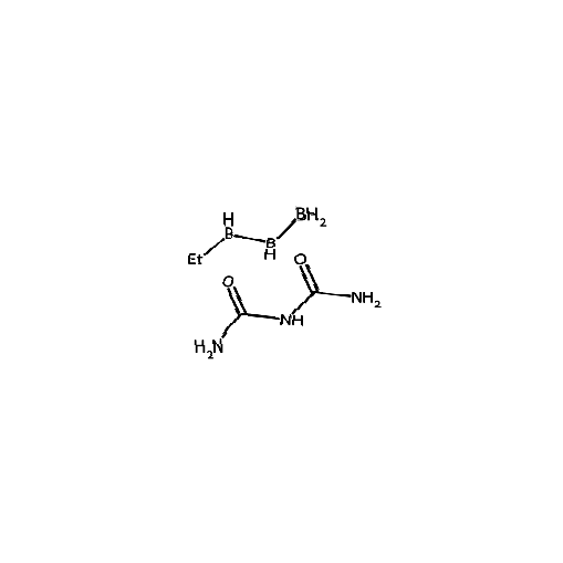 BBBCC.NC(=O)NC(N)=O